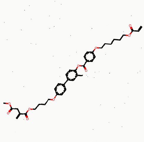 C=CC(=O)OCCCCCCOc1ccc(C(=O)Oc2ccc(-c3ccc(OCCCCOC(=O)C(=C)CC(=O)OC)cc3)cc2C)cc1